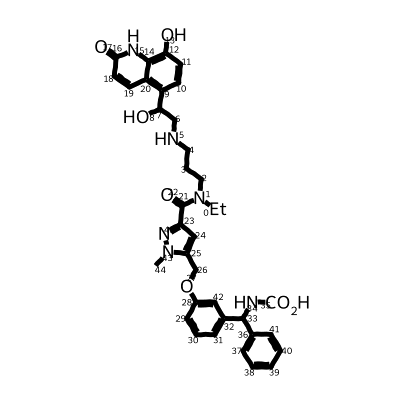 CCN(CCCNCC(O)c1ccc(O)c2[nH]c(=O)ccc12)C(=O)c1cc(COc2cccc(C(NC(=O)O)c3ccccc3)c2)n(C)n1